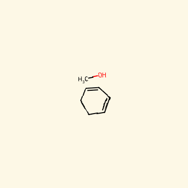 C1=CCCC=C1.CO